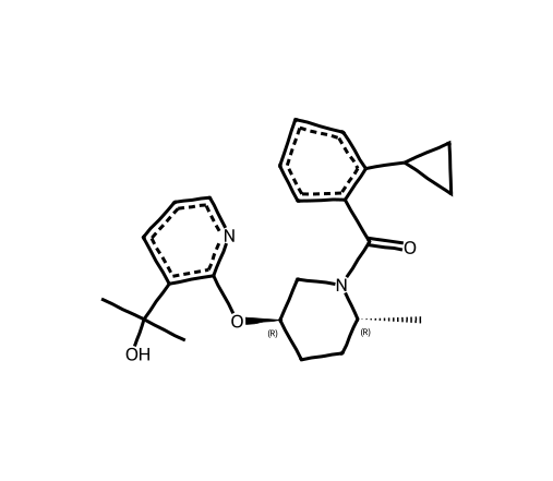 C[C@@H]1CC[C@@H](Oc2ncccc2C(C)(C)O)CN1C(=O)c1ccccc1C1CC1